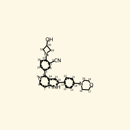 N#Cc1cc(-c2nccc3[nH]c(-c4ccc(N5CCOCC5)cc4)cc23)ccc1N1CC(O)C1